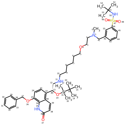 CN(CCOCCCCCCNC[C@H](O[Si](C)(C)C(C)(C)C)c1ccc(OCc2ccccc2)c2[nH]c(=O)ccc12)Cc1cccc(S(=O)(=O)NC(C)(C)C)c1